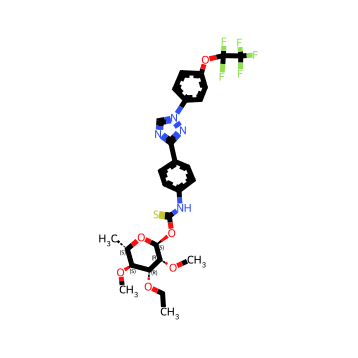 CCO[C@@H]1[C@@H](OC)[C@H](C)O[C@@H](OC(=S)Nc2ccc(-c3ncn(-c4ccc(OC(F)(F)C(F)(F)F)cc4)n3)cc2)[C@@H]1OC